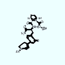 CCN1CC=C(c2ccc(C[C@H](NC(=O)[C@@H]3[C@H]4CC[C@H](C4)N3C(=O)OC(C)(C)C)C(N)=O)c(F)c2)CC1